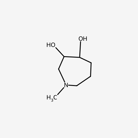 CN1CCCC(O)C(O)C1